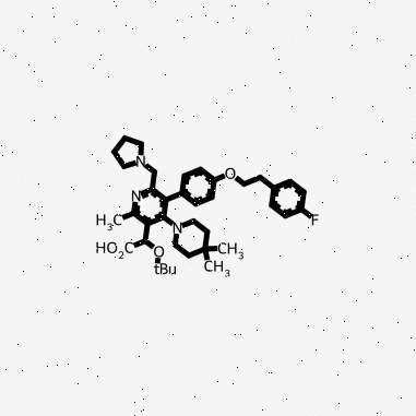 Cc1nc(CN2CCCC2)c(-c2ccc(OCCc3ccc(F)cc3)cc2)c(N2CCC(C)(C)CC2)c1C(OC(C)(C)C)C(=O)O